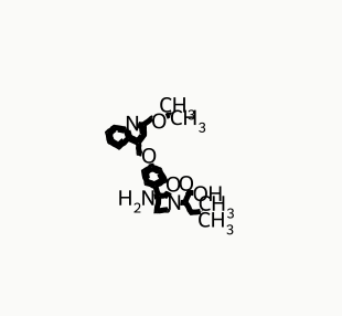 CC(C)CC(C(=O)O)N1CCC(N)(c2ccc(OCc3cc(COC(C)C)nc4ccccc34)cc2)C1=O